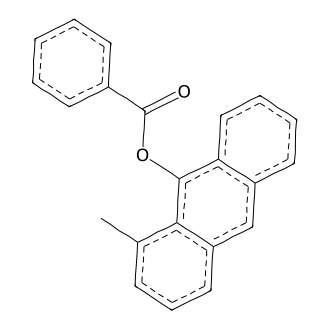 Cc1cccc2cc3ccccc3c(OC(=O)c3ccccc3)c12